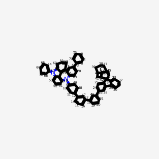 c1ccc(-c2ccc(N(c3ccc(-c4cccc(-c5cccc(-c6ccc7c(c6)-c6ccccc6C76C7CC8CC9CC6C9(C8)C7)c5)c4)cc3)c3cccc4c3c3ccccc3n4-c3ccccc3)cc2)cc1